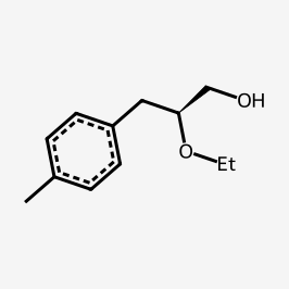 CCO[C@H](CO)Cc1ccc(C)cc1